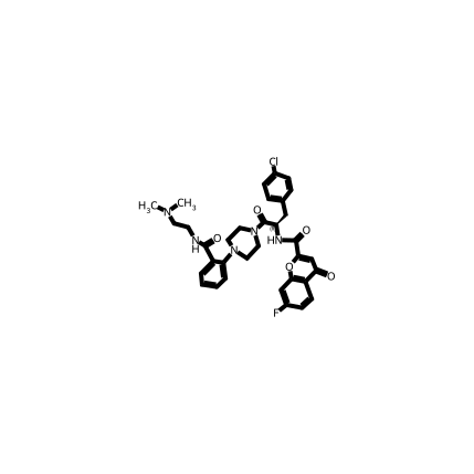 CN(C)CCNC(=O)c1ccccc1N1CCN(C(=O)[C@@H](Cc2ccc(Cl)cc2)NC(=O)c2cc(=O)c3ccc(F)cc3o2)CC1